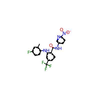 Cc1cc(F)ccc1Nc1cc(C(F)(F)F)ccc1C(=O)Nc1ccc([N+](=O)[O-])nc1